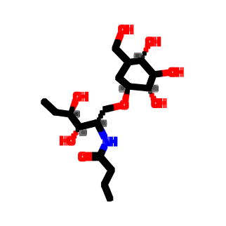 CCCC(=O)N[C@@H](CO[C@H]1CC(CO)[C@H](O)C(O)[C@@H]1O)[C@H](O)[C@H](O)CC